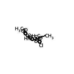 CCCCO[C@@H](C)[C@H](c1ccc(Cl)cc1)N(C)C(=O)c1ccc(NC(=O)Cc2ccc(S(=O)(=O)CC)cc2)cc1